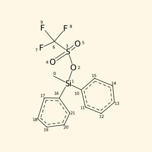 C[Si](OS(=O)(=O)C(F)(F)F)(c1ccccc1)c1ccccc1